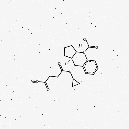 COC(=O)CCC(=O)N(C1CC1)[C@H]1c2ccccc2N(C(=O)Cl)[C@@H]2CCC[C@@H]21